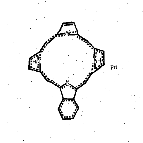 C1=Cc2cc3ccc(cc4nc(cc5ccc(cc1n2)[nH]5)-c1ccccc1-4)[nH]3.[Pd]